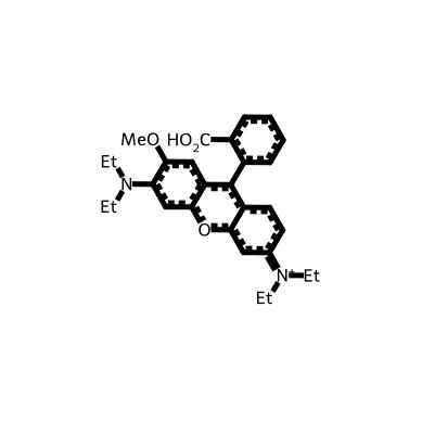 CCN(CC)c1cc2oc3cc(=[N+](CC)CC)ccc-3c(-c3ccccc3C(=O)O)c2cc1OC